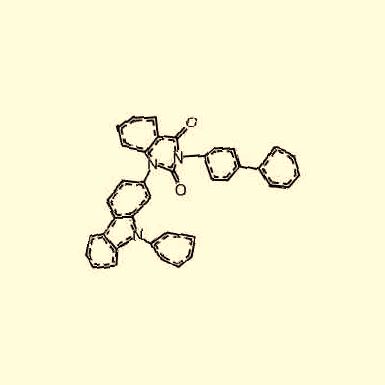 O=c1c2ccccc2n(-c2ccc3c4ccccc4n(-c4ccccc4)c3c2)c(=O)n1-c1ccc(-c2ccccc2)cc1